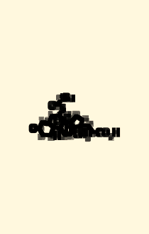 CC(C)(C)C(=O)SC1CC2=CC(=O)CC[C@]2(C)[C@H]2C=C[C@@]3(C)[C@@H](CC[C@]3(O)CCC(=O)O)[C@H]12